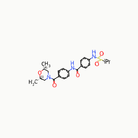 CC(C)S(=O)(=O)Nc1ccc(C(=O)Nc2ccc(C(=O)N3C[C@@H](C)O[C@@H](C)C3)cc2)cc1